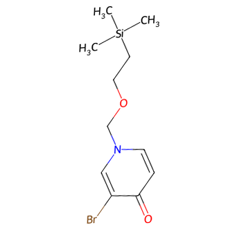 C[Si](C)(C)CCOCn1ccc(=O)c(Br)c1